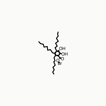 CCCCCCCCc1c(O)c(O)c(C(=O)OBr)c(CCCCCCCC)c1CCCCCCCC